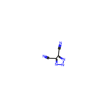 N#CC1=N[N]N=C1C#N